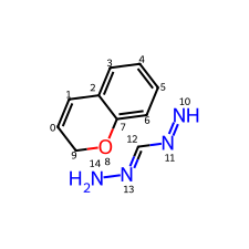 C1=Cc2ccccc2OC1.N=NC=NN